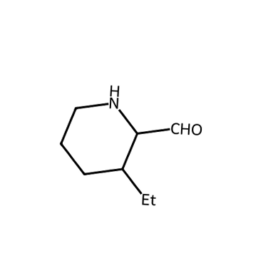 CCC1CCCNC1C=O